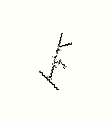 CCCCCCCCC(CCCCCCCC)OC(=O)CCCCCCC(=O)O[C@@H](COC(=O)CCCCC(=O)OC(CCCCCCCC)CCCCCCCC)COP(=O)([O-])OCC[N+](C)(C)C